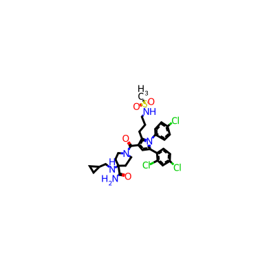 CS(=O)(=O)NCCCc1c(C(=O)N2CCC(NCC3CC3)(C(N)=O)CC2)cc(-c2ccc(Cl)cc2Cl)n1-c1ccc(Cl)cc1